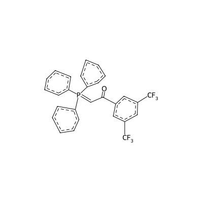 O=C(C=P(c1ccccc1)(c1ccccc1)c1ccccc1)c1cc(C(F)(F)F)cc(C(F)(F)F)c1